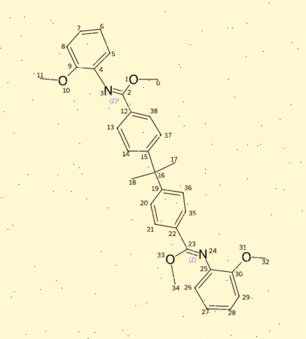 CO/C(=N\c1ccccc1OC)c1ccc(C(C)(C)c2ccc(/C(=N/c3ccccc3OC)OC)cc2)cc1